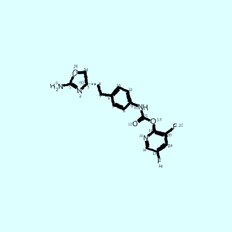 NC1=N[C@@H](CCc2ccc(NC(=O)Oc3ncc(F)cc3F)cc2)CO1